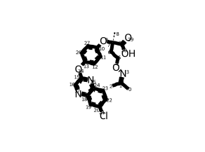 CC(C)=NOCC[C@@](C)(Oc1ccc(Oc2cnc3cc(Cl)ccc3n2)cc1)C(=O)O